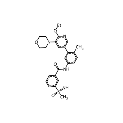 CCOc1ncc(-c2cc(NC(=O)c3cccc(S(C)(=N)=O)c3)ccc2C)cc1N1CCOCC1